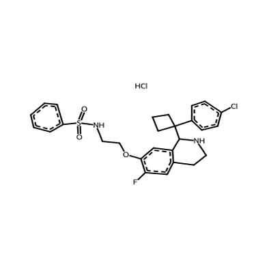 Cl.O=S(=O)(NCCOc1cc2c(cc1F)CCNC2C1(c2ccc(Cl)cc2)CCC1)c1ccccc1